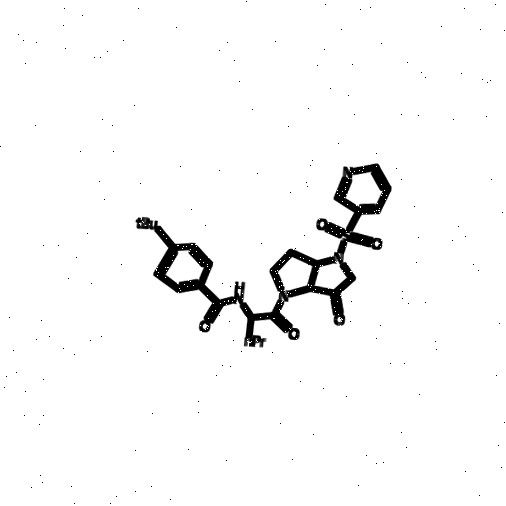 CCCC(NC(=O)c1ccc(C(C)(C)C)cc1)C(=O)N1CCC2C1C(=O)CN2S(=O)(=O)c1cccnc1